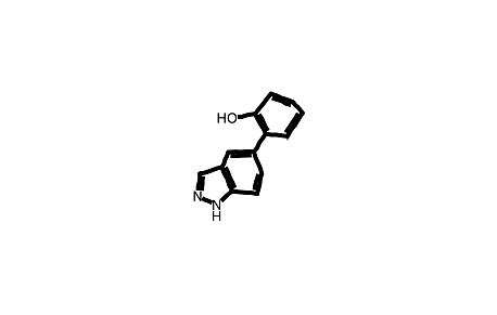 Oc1ccc[c]c1-c1ccc2[nH]ncc2c1